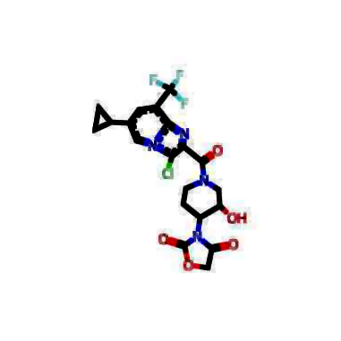 O=C(c1nc2c(C(F)(F)F)cc(C3CC3)cn2c1Cl)N1CCC(N2C(=O)COC2=O)C(O)C1